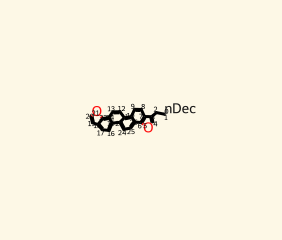 CCCCCCCCCCCCc1coc2c1ccc1c3ccc4c(ccc5ccoc54)c3ccc12